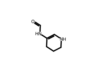 O=CNC1=CNCCC1